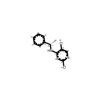 C[C@H](Nc1nc(Cl)ncc1Cl)c1ccccc1